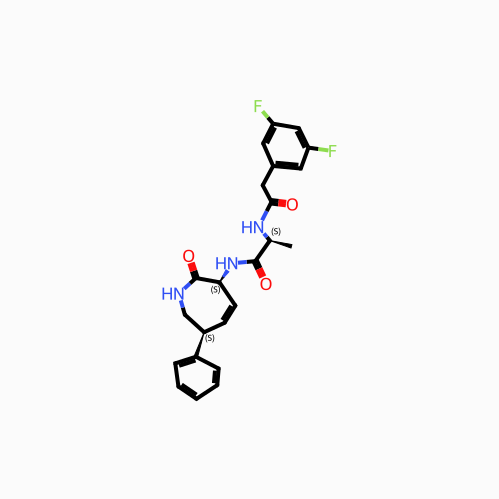 C[C@H](NC(=O)Cc1cc(F)cc(F)c1)C(=O)N[C@H]1C=C[C@@H](c2ccccc2)CNC1=O